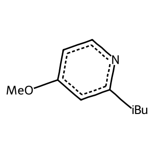 CCC(C)c1cc(OC)ccn1